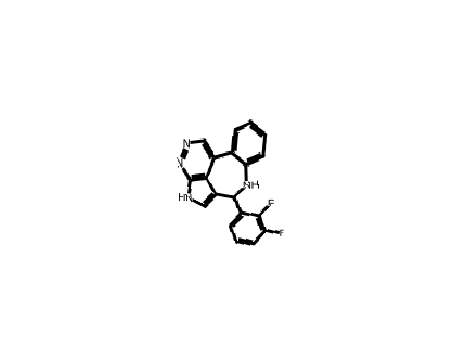 Fc1cccc(C2Nc3ccccc3-c3cnnc4[nH]cc2c34)c1F